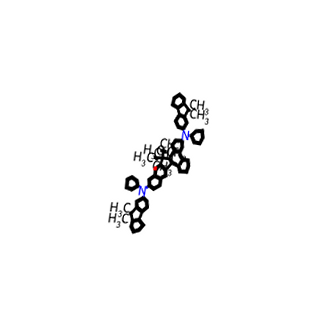 CC1(C)c2ccccc2-c2ccc(N(c3ccccc3)c3ccc4cc5c(cc4c3)C(C(C)(C)C)(C(C)(C)C)c3c-5c4ccccc4c4cc(N(c5ccccc5)c5ccc6c(c5)C(C)(C)c5ccccc5-6)ccc34)cc21